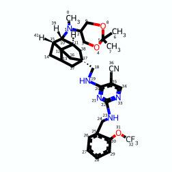 CN(C1COC(C)(C)OC1)[C@@H]1[C@@H]2CC3C[C@H]1C[C@](CNc1nc(NCc4ccccc4OC(F)(F)F)ncc1C#N)(C3)C2